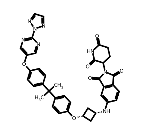 CC(C)(c1ccc(Oc2cnc(-n3nccn3)nc2)cc1)c1ccc(O[C@H]2C[C@@H](Nc3ccc4c(c3)C(=O)N(C3CCC(=O)NC3=O)C4=O)C2)cc1